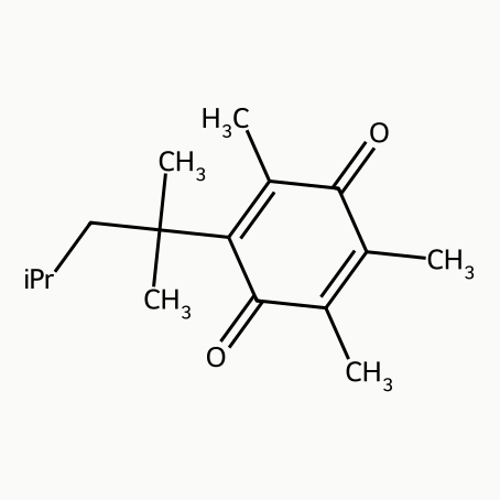 CC1=C(C)C(=O)C(C(C)(C)CC(C)C)=C(C)C1=O